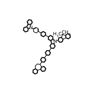 CC1(C)c2ccccc2-c2ccc(-n3c4ccc(-c5ccc(C6=CC=C(n7c8ccccc8c8ccccc87)CC6)cc5)cc4c4cc(-c5ccc(-c6ccc(C7CCc8ccccc8-c8ccccc87)cc6)cc5)ccc43)cc21